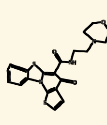 O=C(NCCN1CCOCC1)c1c(=O)c2ccsc2n2c1sc1ccccc12